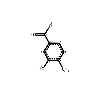 CCC(=O)c1ccc(C)c(O)c1